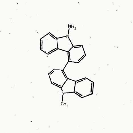 Cn1c2ccccc2c2c(-c3cccc4c3c3ccccc3n4N)cccc21